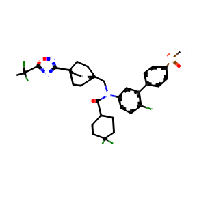 CC(F)(F)c1nc(C23CCC(CN(C(=O)C4CCC(F)(F)CC4)c4ccc(F)c(-c5ccc(S(C)(=O)=O)cc5)c4)(CC2)CC3)no1